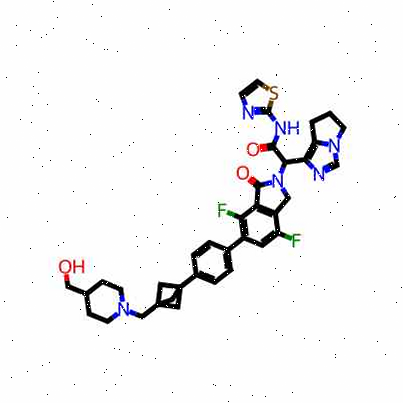 O=C(Nc1nccs1)C(c1ncn2c1CCC2)N1Cc2c(F)cc(-c3ccc(C45CC(CN6CCC(CO)CC6)(C4)C5)cc3)c(F)c2C1=O